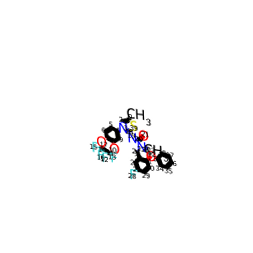 Cc1cn(-c2ccc3c(c2)OC(F)(F)C(F)(F)O3)c(=NC(=O)N(C)Cc2cc(F)ccc2Oc2ccccc2)s1